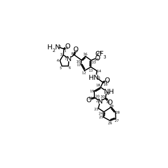 NC(=O)C1CCCN1C(=O)c1ccc(CNC(=O)c2cc(=O)n(Cc3ccccc3)c(=O)[nH]2)c(OC(F)(F)F)c1